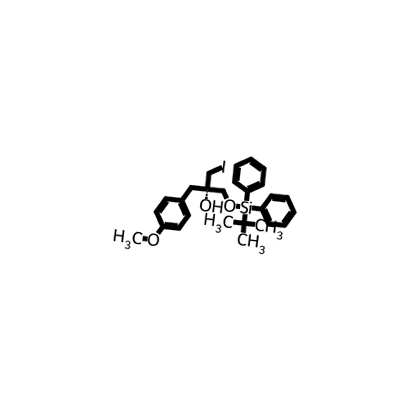 COc1ccc(C[C@@](O)(CI)CO[Si](c2ccccc2)(c2ccccc2)C(C)(C)C)cc1